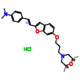 C[C@@H]1CN(CCCOc2ccc3cc(/C=C/c4ccc(N(C)C)cc4)oc3c2)C[C@H](C)O1.Cl